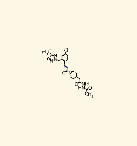 CC(=O)NNC(=O)CC1CCN(C(=O)/C=C/c2ccc(Cl)cc2Cn2nnc(C)n2)CC1